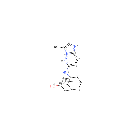 N#Cc1cnc2ccc(NC34CC5CC(CC(O)(C5)C3)C4)nn12